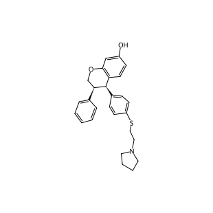 Oc1ccc2c(c1)OC[C@H](c1ccccc1)[C@@H]2c1ccc(SCCN2CCCC2)cc1